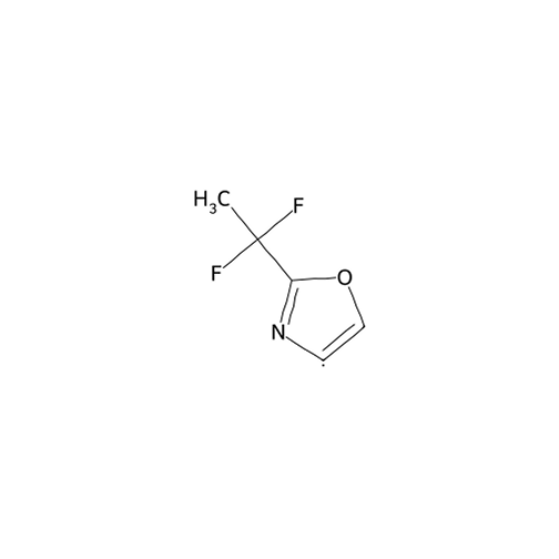 CC(F)(F)c1n[c]co1